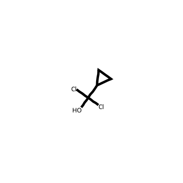 OC(Cl)(Cl)C1CC1